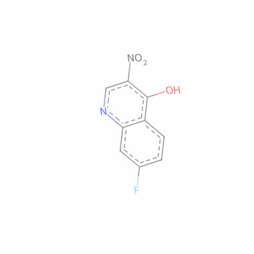 O=[N+]([O-])c1cnc2cc(F)ccc2c1O